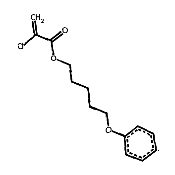 C=C(Cl)C(=O)OCCCCCOc1cc[c]cc1